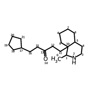 CC1NCCC2CCCCC21CCC(=O)CCC1CCCC1